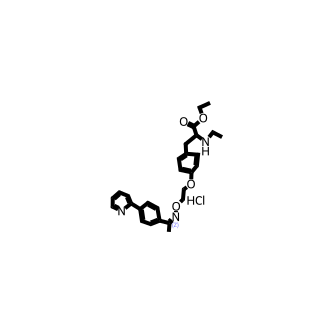 CCNC(Cc1ccc(OCCO/N=C(/C)c2ccc(-c3ccccn3)cc2)cc1)C(=O)OCC.Cl